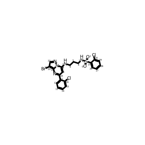 O=S(=O)(NCCCNc1cc(-c2ccccc2Cl)nc2c(Br)cnn12)c1ccccc1Cl